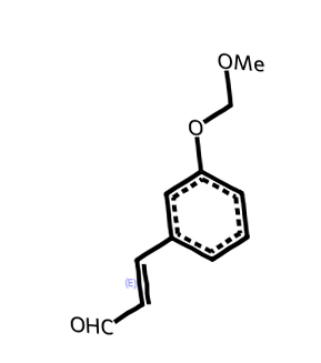 COCOc1cccc(/C=C/C=O)c1